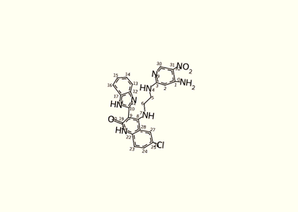 Nc1cc(NCCNc2c(-c3nc4ccccc4[nH]3)c(=O)[nH]c3ccc(Cl)cc23)ncc1[N+](=O)[O-]